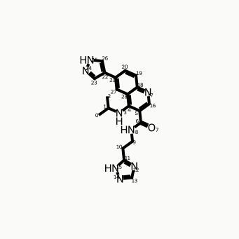 CC(C)Nc1c(C(=O)NCCc2ncn[nH]2)cnc2ccc(-c3cn[nH]c3)cc12